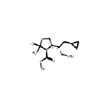 CC(C)(C)OC(=O)N1[C@H]([C@@H](CC=O)CC2CC2)COC1(C)C